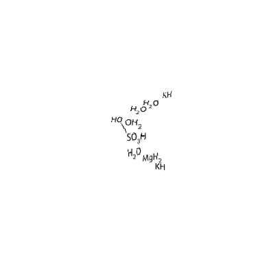 O.O.O.O.O=S(=O)(O)O.[KH].[KH].[MgH2]